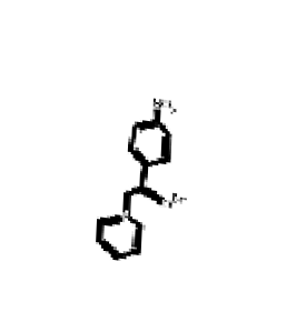 O=C(C[n+]1ccccc1)c1ccc([N+](=O)[O-])cc1.[Br-]